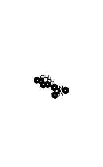 CC1(C)c2ccccc2-c2ccc3cc(-c4ccc(-c5nc6ccccc6nc5-c5ccccc5)cc4)ccc3c21